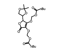 CCCCC(=O)OCOC1=C(OCOC(=O)CCCC)C(C2COC(C)(C)O2)OC1=O